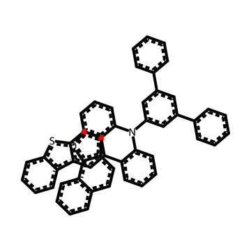 c1ccc(-c2cc(-c3ccccc3)cc(N(c3ccccc3-c3ccc4sc5ccccc5c4c3)c3cccc4oc5c6ccccc6ccc5c34)c2)cc1